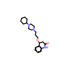 O=C1CC(OCCCN2CCN(C3CCCCC3)CC2)c2ccccc2N1